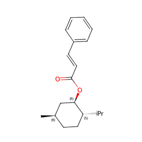 CC(C)[C@@H]1CC[C@@H](C)C[C@H]1OC(=O)C=Cc1ccccc1